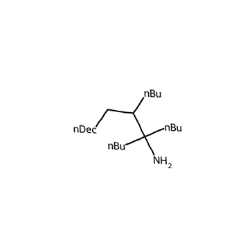 CCCCCCCCCCCC(CCCC)C(N)(CCCC)CCCC